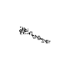 CCOP(=O)(CCOCCOCCOCCOCCOCCBr)OCC